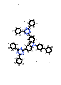 c1ccc(-c2ccc(-n3c4ccc(-c5nc(-c6ccccc6)nc(-c6ccccc6)n5)cc4c4cc(-c5nc(-c6ccccc6)nc(-c6ccccc6)n5)ccc43)cc2)cc1